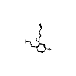 C=CCCOc1cc(F)ccc1CCI